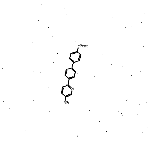 CCCCCc1ccc(-c2ccc(-c3ccc(CCC)cn3)cc2)cc1